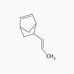 CC=CC1CC2[C]=CC1C2